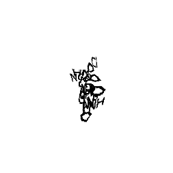 CN1CC[N+](C#N)(C(=O)Nc2ccc(Cl)cc2)C(c2ccccc2)C1(Cc1ccccc1)OC(=O)N(Cc1ccccc1)N=N